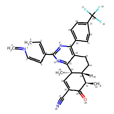 C=N/C=C\C(=C/C)c1nc(-c2ccc(C(F)(F)F)cc2)c2c(n1)[C@]1(C)C=C(C#N)C(=O)[C@H](C)[C@H]1CC2